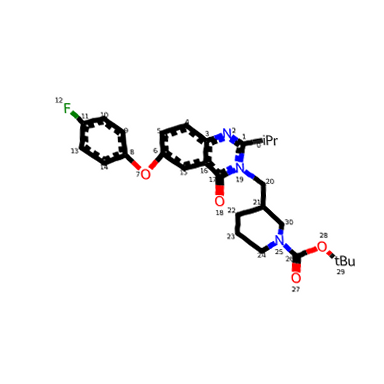 CC(C)c1nc2ccc(Oc3ccc(F)cc3)cc2c(=O)n1CC1CCCN(C(=O)OC(C)(C)C)C1